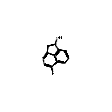 OC1Cc2ccc(F)c3cccc1c23